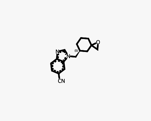 N#Cc1ccc2ncn(C[C@H]3CCCC4(CO4)C3)c2c1